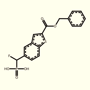 O=C(OCc1ccccc1)c1cc2cc(C(F)P(=O)(O)O)ccc2s1